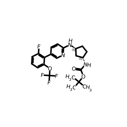 CC(C)(C)OC(=O)N[C@H]1CC[C@H](Nc2ccc(-c3c(F)cccc3OC(F)(F)F)cn2)C1